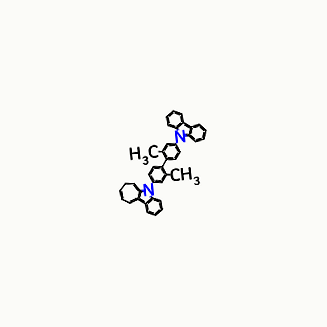 Cc1cc(-n2c3c(c4ccccc42)=CC=CCC=3)ccc1-c1ccc(-n2c3ccccc3c3ccccc32)cc1C